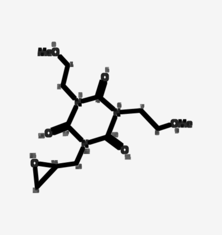 COCCn1c(=O)n(CCOC)c(=O)n(CC2CO2)c1=O